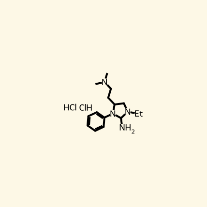 CCN1CC(CCN(C)C)N(c2ccccc2)C1N.Cl.Cl